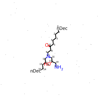 CCCCCCCCCCCCCCCC(=O)CCN(CCCCCCCCCCCCCC)CC(O)CN